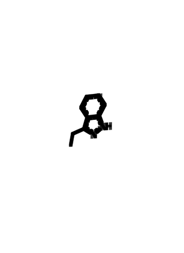 CCc1n[nH]c2c[c]ccc12